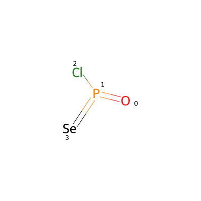 O=P(Cl)=[Se]